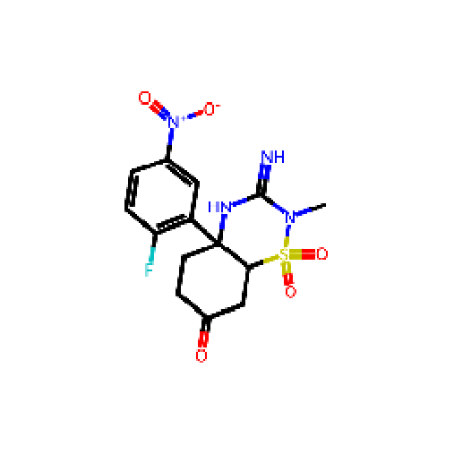 CN1C(=N)NC2(c3cc([N+](=O)[O-])ccc3F)CCC(=O)CC2S1(=O)=O